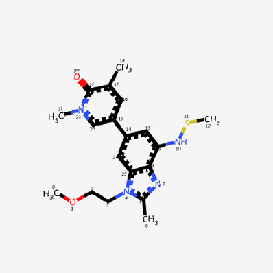 COCCn1c(C)nc2c(NSC)cc(-c3cc(C)c(=O)n(C)c3)cc21